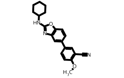 COc1ccc(-c2ccc3oc(NC4CCCCC4)nc3c2)cc1C#N